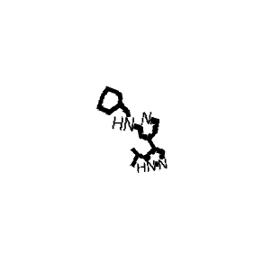 CC(C)c1[nH]ncc1-c1ccnc(NCC2CCCCC2)c1